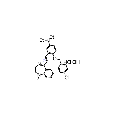 CCN(CC)c1ccc(OCc2ccc(Cl)cc2)c(/C=C/C2=NCCN(C)c3ccccc32)c1.Cl.Cl